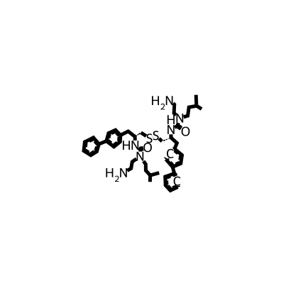 CC(C)CCN(CCN)C(=O)N[C@@H](CSSC[C@@H](Cc1ccc(-c2ccccc2)cc1)NC(=O)N(CCN)CCC(C)C)Cc1ccc(-c2ccccc2)cc1